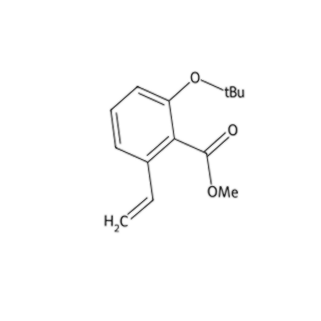 C=Cc1cccc(OC(C)(C)C)c1C(=O)OC